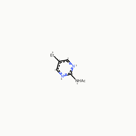 CCc1cnc(NC(C)=O)nc1